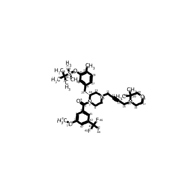 COc1cc(C(=O)N2CCN(CC#CCN3CCOCC3(C)C)C[C@H]2Cc2ccc(C)c(O[Si](C)(C)C(C)(C)C)c2)cc(C(F)(F)F)c1